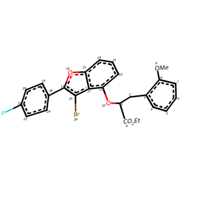 CCOC(=O)C(Cc1ccccc1OC)Oc1cccc2oc(-c3ccc(F)cc3)c(Br)c12